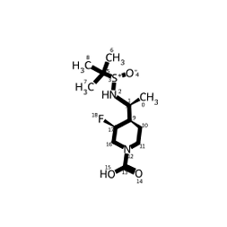 C[C@H](N[S+]([O-])C(C)(C)C)[C@H]1CCN(C(=O)O)C[C@H]1F